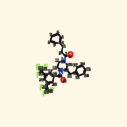 O=C(CCc1ccccc1)N1CCN(C(=O)c2cc(C(F)(F)F)cc(C(F)(F)F)c2)[C@H](Cc2ccccc2)C1